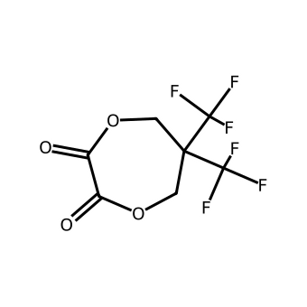 O=C1OCC(C(F)(F)F)(C(F)(F)F)COC1=O